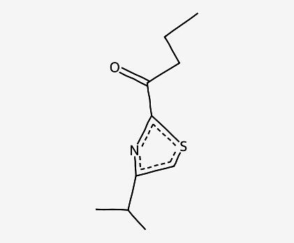 CCCC(=O)c1nc(C(C)C)cs1